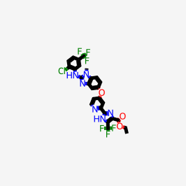 CCOC(=O)c1nc(-c2cc(Oc3ccc4c(c3)nc(Nc3cc(C(F)(F)F)ccc3Cl)n4C)ccn2)[nH]c1C(F)(F)F